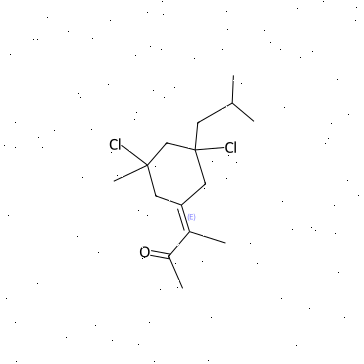 CC(=O)/C(C)=C1\CC(C)(Cl)CC(Cl)(CC(C)C)C1